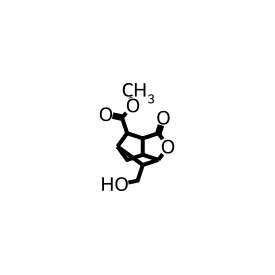 COC(=O)C1C2CC3C(OC(=O)C31)C2CO